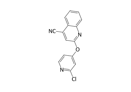 N#Cc1cc(Oc2ccnc(Cl)c2)nc2ccccc12